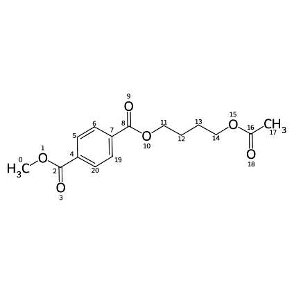 COC(=O)c1ccc(C(=O)OCCCCOC(C)=O)cc1